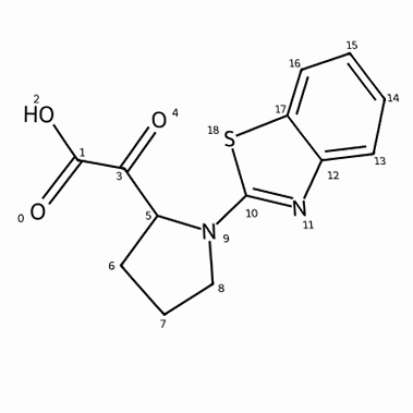 O=C(O)C(=O)C1CCCN1c1nc2ccccc2s1